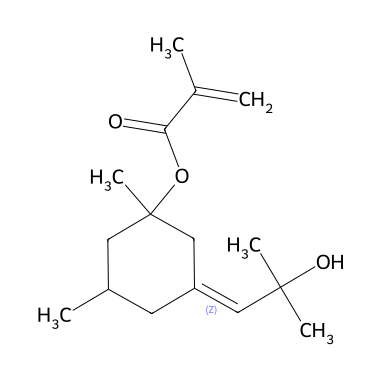 C=C(C)C(=O)OC1(C)C/C(=C\C(C)(C)O)CC(C)C1